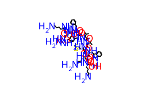 CSCC[C@H](NC(=O)[C@@H](NC(=O)[C@@H](NC(=O)[C@H](Cc1ccc(O)cc1)NC(=O)[C@H](Cc1ccccc1)NC(=O)[C@H](CCCNC(N)N)NC(=O)[C@H](N)CCCCN)C(C)C)C(C)C)C(=O)N[C@@H](Cc1c[nH]c2ccccc12)C(=O)N[C@@H](CCCCN)C(=O)N[C@H](CCCCN)C(=O)O